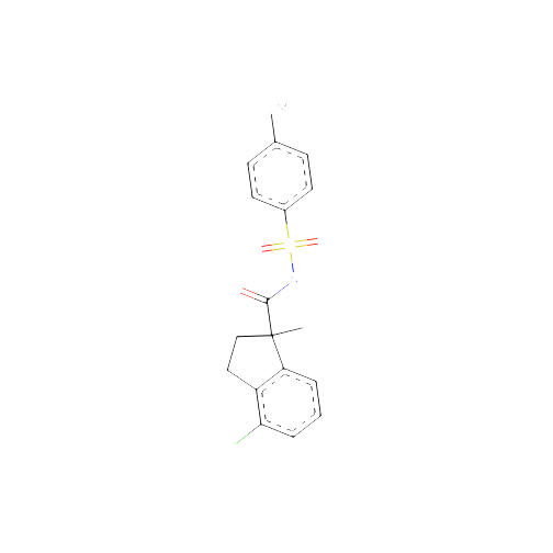 CCC1(C(=O)NS(=O)(=O)c2ccc(OC)cc2)CCc2c(Cl)cccc21